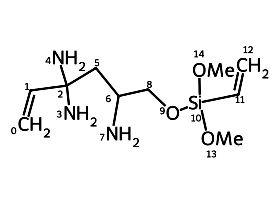 C=CC(N)(N)CC(N)CO[Si](C=C)(OC)OC